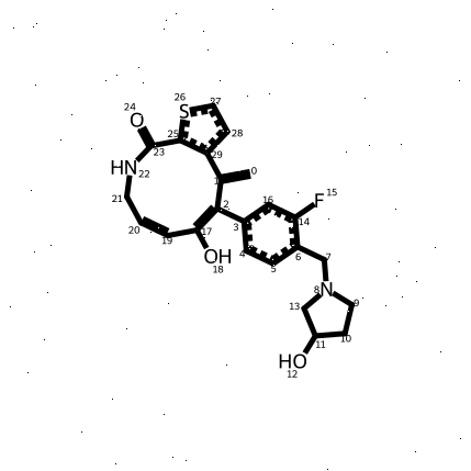 C=C1/C(c2ccc(CN3CCC(O)C3)c(F)c2)=C(O)\C=C/CNC(=O)c2sccc21